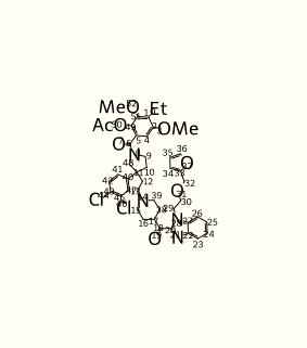 CCc1c(OC)cc(C(=O)N2CCC(CCN3CCC(C(=O)c4nc5ccccc5n4CCOCc4ccco4)CC3)(c3ccc(Cl)c(Cl)c3)C2)c(OC(C)=O)c1OC